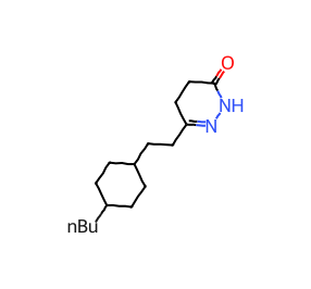 CCCCC1CCC(CCC2=NNC(=O)CC2)CC1